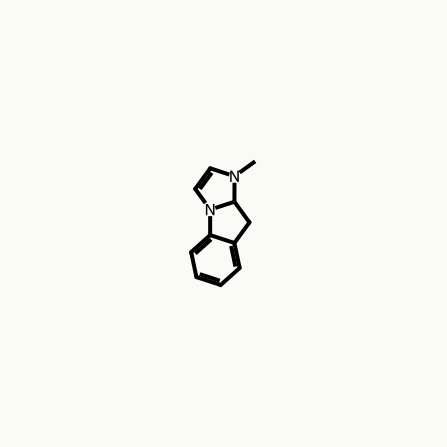 CN1C=CN2c3ccccc3CC12